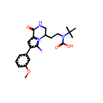 COc1cccc(-c2cc3n(c2I)C(CCN(C(=O)O)C(C)(C)C)CNC3=O)c1